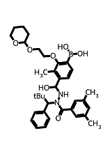 Cc1cc(C)cc(C(=O)N(NC(O)c2ccc(B(O)O)c(OCCOC3CCCCO3)c2C)C(c2ccccc2)C(C)(C)C)c1